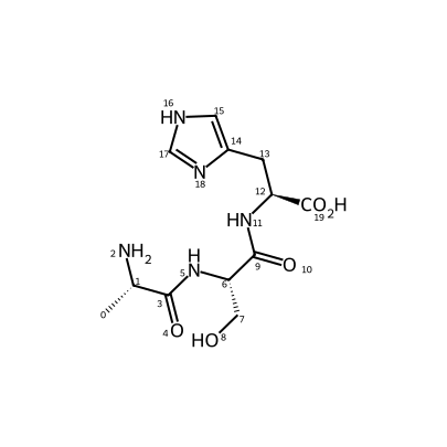 C[C@H](N)C(=O)N[C@@H](CO)C(=O)N[C@@H](Cc1c[nH]cn1)C(=O)O